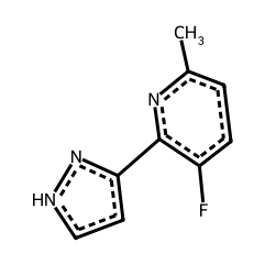 Cc1ccc(F)c(-c2cc[nH]n2)n1